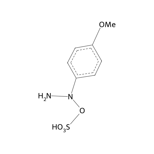 COc1ccc(N(N)OS(=O)(=O)O)cc1